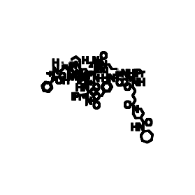 CC[C@H](C)[C@@H]([C@@H](CC(=O)N1CCC[C@H]1[C@H](OC)[C@@H](C)C(=O)N[C@H](C)[C@@H](O)c1ccccc1)OC)N(C)C(=O)[C@@H](NC(=O)[C@H](C(C)C)N(C)C(=O)OCc1ccc(NC(=O)[C@H](CCCNC(N)=O)NC(=O)[C@@H](NC(=O)CCCC(=O)N2CCC(C(=O)NC3CCCCCC3)CC2)C(C)C)cc1)C(C)C